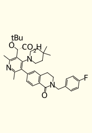 Cc1nc(C)c([C@H](OC(C)(C)C)C(=O)O)c(N2CCC(C)(C)CC2)c1-c1ccc2c(c1)CCN(Cc1ccc(F)cc1)C2=O